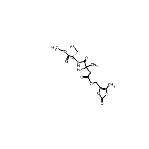 CCOC(=O)[C@H](CS)NC(=O)C(C)(C)SC(=O)OCc1oc(=O)oc1C